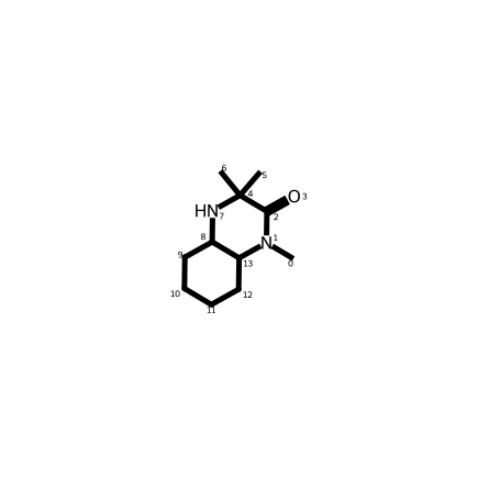 CN1C(=O)C(C)(C)NC2CCCCC21